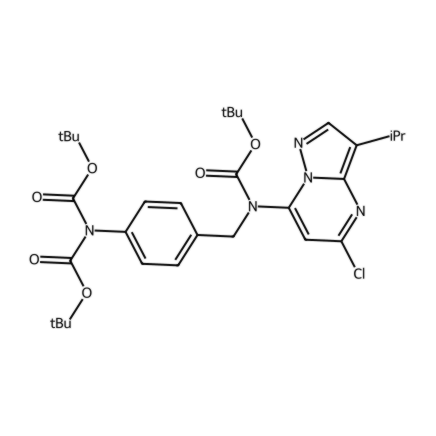 CC(C)c1cnn2c(N(Cc3ccc(N(C(=O)OC(C)(C)C)C(=O)OC(C)(C)C)cc3)C(=O)OC(C)(C)C)cc(Cl)nc12